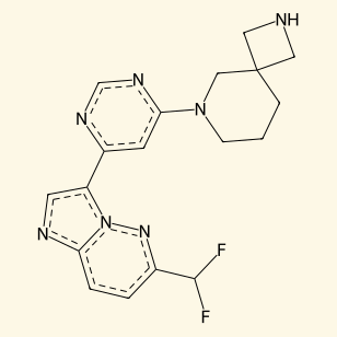 FC(F)c1ccc2ncc(-c3cc(N4CCCC5(CNC5)C4)ncn3)n2n1